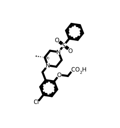 C[C@@H]1CN(S(=O)(=O)c2ccccc2)CCN1Cc1cc(Cl)ccc1OCC(=O)O